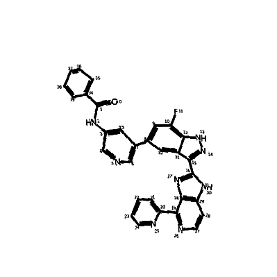 O=C(Nc1cncc(-c2cc(F)c3[nH]nc(-c4nc5c(-c6ccccn6)nccc5[nH]4)c3c2)c1)c1ccccc1